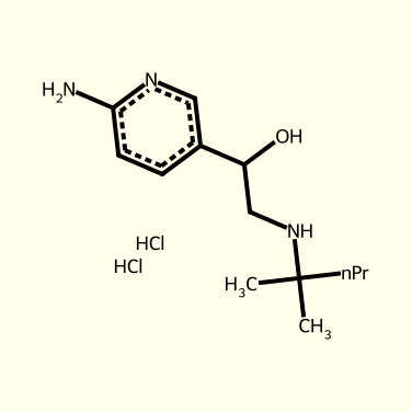 CCCC(C)(C)NCC(O)c1ccc(N)nc1.Cl.Cl